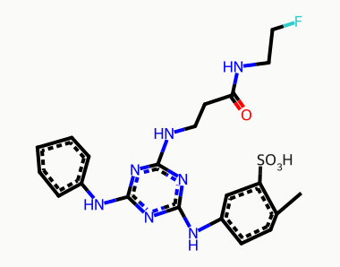 Cc1ccc(Nc2nc(NCCC(=O)NCCF)nc(Nc3ccccc3)n2)cc1S(=O)(=O)O